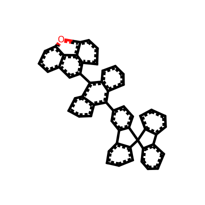 c1ccc2c(c1)-c1ccccc1C21c2ccccc2-c2cc(-c3c4ccccc4c(-c4cc5cccc6oc7cccc4c7c56)c4ccccc34)ccc21